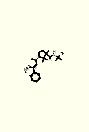 C/N=N\C(=C/C(C)[C@@H]1CCC(C)(C(=O)NC(C)(C)C#N)C1(C)C)c1ccccc1F